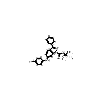 CC(C)(C)OC(=O)n1nc(-c2ccccc2)c2ccc(Nc3ccc(F)cc3)cc21